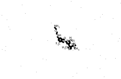 CCNc1cc(-c2c(-c3nncn3C)cnn2C)cc(N2Cc3c(cc(CNCCOCCN)cc3C(F)(F)F)C2=O)n1